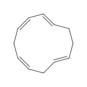 [C]1=C/C/C=C\C/C=C\C=C\CC/1